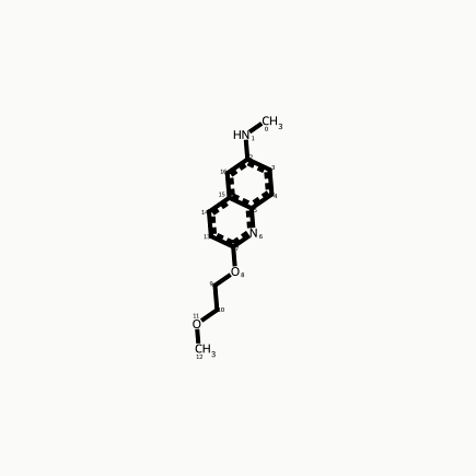 CNc1ccc2nc(OCCOC)ccc2c1